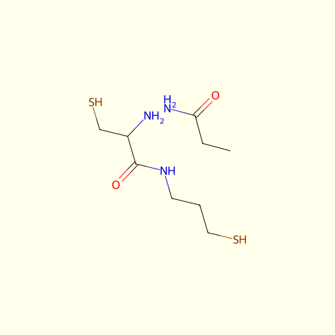 CCC(N)=O.NC(CS)C(=O)NCCCS